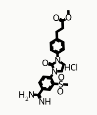 COC(=O)CCc1ccc(N2CCN(c3ccc(C(=N)N)cc3S(C)(=O)=O)C2=O)cc1.Cl